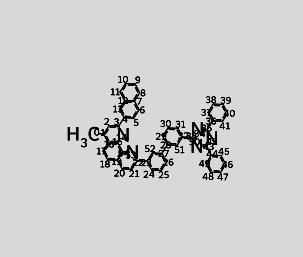 Cc1cc(-c2ccc3ccccc3c2)nc2c1ccc1ccc(-c3cccc(-c4cccc(-c5nc(-c6ccccc6)nc(-c6ccccc6)n5)c4)c3)nc12